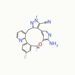 C[C@H]1Oc2cc(cnc2N)-c2c(nn(C)c2C#N)Cc2cccnc2-c2ccc(F)cc21